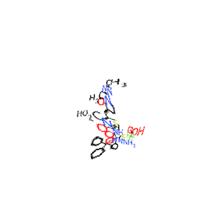 Cc1cnc(N2CC/C(=C\C3=C(C(=O)O)N4C(=O)[C@@H](NC(=O)/C(=N\OC(c5ccccc5)(c5ccccc5)c5ccccc5)c5csc(N)n5)[C@H]4SC3)C2=O)c(C)n1.O=C(O)C(F)(F)F